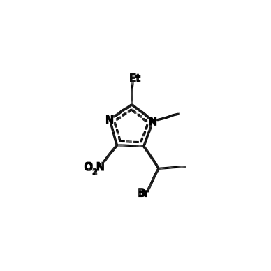 CCc1nc([N+](=O)[O-])c(C(C)Br)n1C